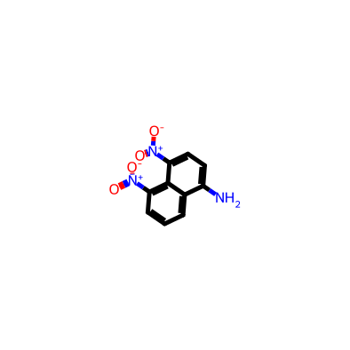 Nc1ccc([N+](=O)[O-])c2c([N+](=O)[O-])cccc12